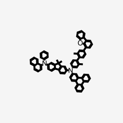 Cc1cc(-c2cccc3c2oc2ccccc23)ccc1-c1ccc(N(c2ccc3c(c2)C(C)(C)c2cc(N(c4ccccc4)c4cccc5ccccc45)ccc2-3)c2ccc3c4ccccc4c4ccccc4c3c2)cc1C